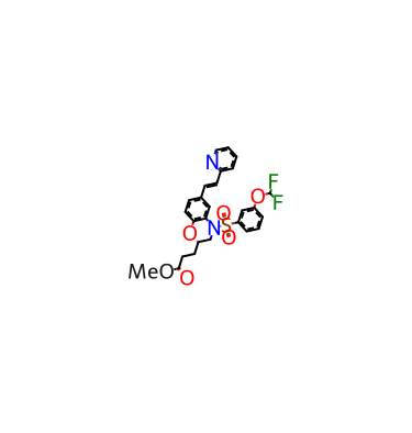 COC(=O)CCC1CN(S(=O)(=O)c2cccc(OC(F)F)c2)c2cc(C=Cc3ccccn3)ccc2O1